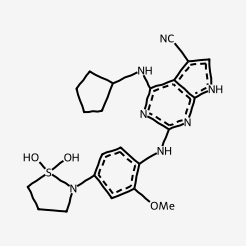 COc1cc(N2CCCS2(O)O)ccc1Nc1nc(NC2CCCC2)c2c(C#N)c[nH]c2n1